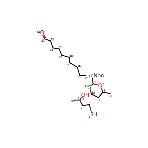 CC(O)CCS.CCCCCCCCCC1OC(C)CCS1.CCCCCCCCCC=O